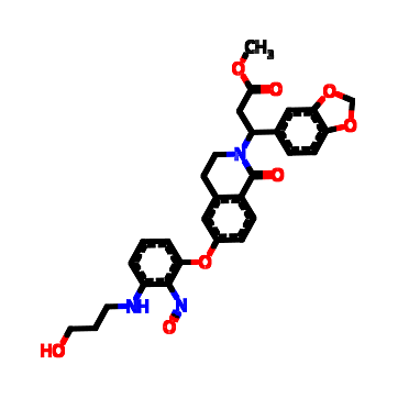 COC(=O)CC(c1ccc2c(c1)OCO2)N1CCc2cc(Oc3cccc(NCCCO)c3N=O)ccc2C1=O